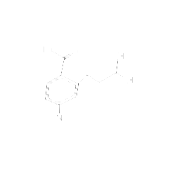 Nc1ccc(C(=O)O)c(CCC(O)O)c1